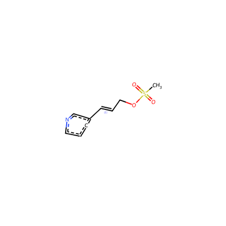 CS(=O)(=O)OC/C=C/c1cccnc1